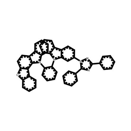 c1ccc(-c2nc(-c3ccccc3)n(-c3ccc4c5ccccc5n(-c5ccccc5-n5c6ccccc6c6ccc7oc8ccccc8c7c65)c4c3)n2)cc1